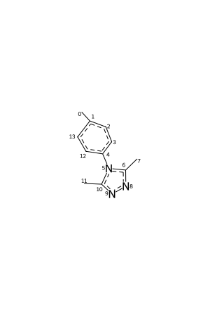 Cc1ccc(-n2c(C)nnc2C)cc1